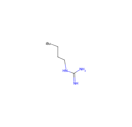 CCC(C)CCCNC(=N)N